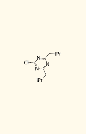 CC(C)Cc1nc(Cl)nc(CC(C)C)n1